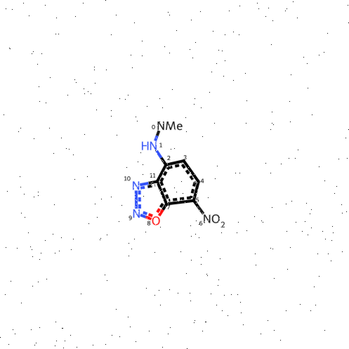 CNNc1ccc([N+](=O)[O-])c2onnc12